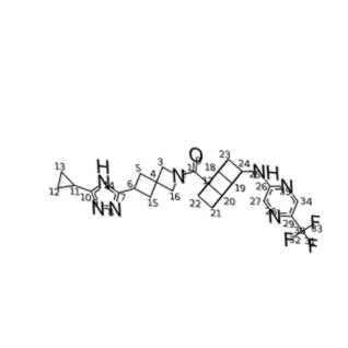 O=C(N1CC2(CC(c3nnc(C4CC4)[nH]3)C2)C1)C12C3C4C1C1C2C3C41Nc1cnc(C(F)(F)F)cn1